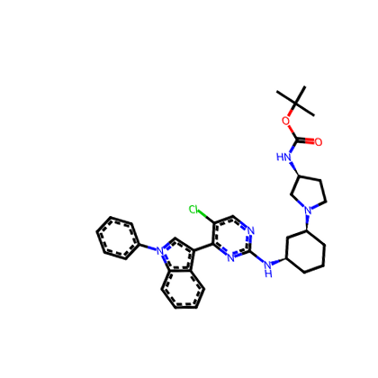 CC(C)(C)OC(=O)N[C@H]1CCN([C@H]2CCC[C@@H](Nc3ncc(Cl)c(-c4cn(-c5ccccc5)c5ccccc45)n3)C2)C1